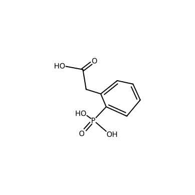 O=C(O)Cc1ccccc1P(=O)(O)O